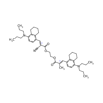 CCCN(CCC)c1ccc(/C=C(\C)C(=O)OCCOC(=O)/C(C#N)=C/c2ccc(N(CCC)CCC)c3c2CCCC3)c2c1CCCC2